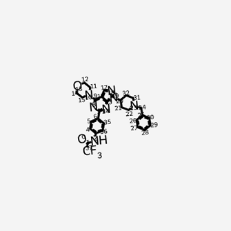 O=C(Nc1ccc(-c2nc(N3CCOCC3)c3cnn(C4CCN(Cc5ccccc5)CC4)c3n2)cc1)C(F)(F)F